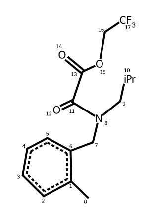 Cc1ccccc1CN(CC(C)C)C(=O)C(=O)OCC(F)(F)F